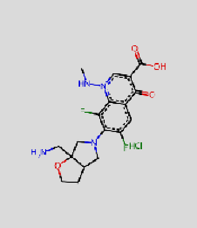 CNn1cc(C(=O)O)c(=O)c2cc(F)c(N3CC4CCOC4(CN)C3)c(F)c21.Cl